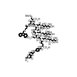 CSSC[C@H](NC(=O)[C@H](CNC(=O)CCSCC1c2ccccc2-c2ccccc21)NC(=O)[C@H](CCC(=O)NC[C@H](O)[C@@H](O)[C@H](O)[C@H](O)CO)NC(=O)[C@H](CCC(=O)O)NC(=O)[C@H](CCC(=O)NC[C@H](O)[C@@H](O)[C@H](O)[C@H](O)CO)NC(=O)[C@H](CCC(=O)O)NC(=O)[C@H](CCC(=O)NC[C@H](O)[C@@H](O)[C@H](O)[C@H](O)CO)NC(=O)CC[C@H](NC(=O)c1ccc(NCc2cnc3nc(N)[nH]c(=O)c3n2)cc1)C(=O)O)C(=O)O